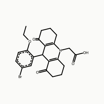 CCOc1ccc(Br)cc1C1C2=C(CCCC2=O)N(CC(=O)O)C2=C1C(=O)CCC2